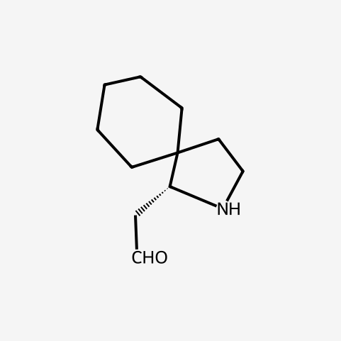 O=CC[C@H]1NCCC12CCCCC2